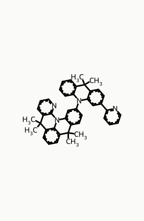 CC1(C)c2ccccc2N(c2ccc3c(c2)N2c4ncccc4C(C)(C)c4cccc(c42)C3(C)C)c2cc(-c3ccccn3)ccc21